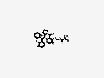 CCN(C)C(=O)OCOc1c2n(ncc1=O)[C@@H]([C@H](c1ccccc1)c1cccc(F)c1F)[C@H]1CCCN1C2=O